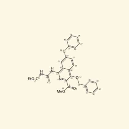 CCOC(=O)NC(=S)Nc1nc(C(=O)OC)c(OCc2ccccc2)c2ccc(Oc3ccccc3)cc12